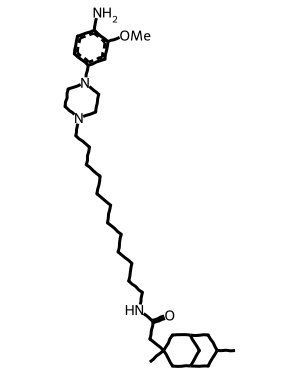 COc1cc(N2CCN(CCCCCCCCCCCCNC(=O)CC3(C)CC4CC(C)CC(C4)C3)CC2)ccc1N